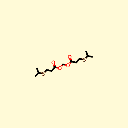 CC(C)SCCC(=O)OCOC(=O)CCSC(C)C